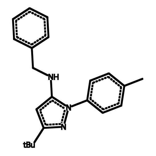 Cc1ccc(-n2nc(C(C)(C)C)cc2NCc2ccccc2)cc1